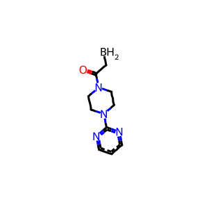 BCC(=O)N1CCN(c2ncccn2)CC1